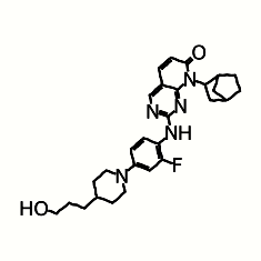 O=c1ccc2cnc(Nc3ccc(N4CCC(CCCO)CC4)cc3F)nc2n1C1CC2CCC1C2